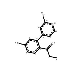 CCC(=O)c1ccc(F)cc1-c1ccnc(Br)c1